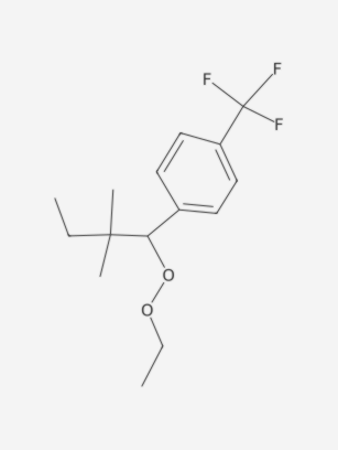 CCOOC(c1ccc(C(F)(F)F)cc1)C(C)(C)CC